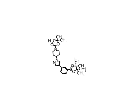 CC(C)(C)OC(=O)N1CCC(n2cc(-c3cccc(B4OC(C)(C)C(C)(C)O4)c3)cn2)CC1